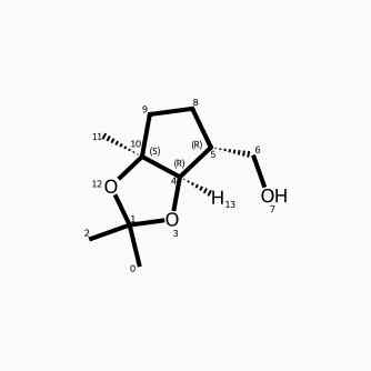 CC1(C)O[C@@H]2[C@@H](CO)CC[C@]2(C)O1